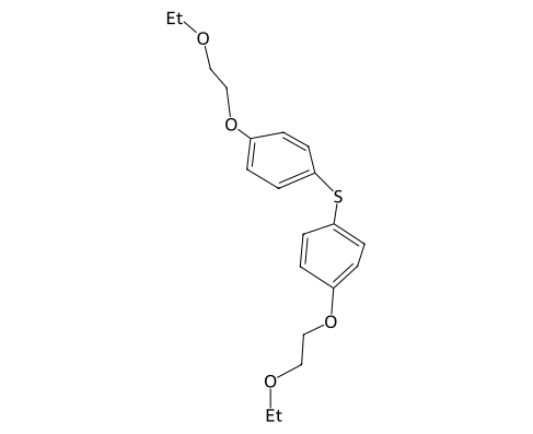 CCOCCOc1ccc(Sc2ccc(OCCOCC)cc2)cc1